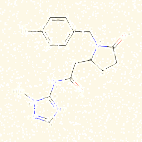 CCc1ccc(CN2C(=O)CCC2CC(=O)Nc2ncnn2C)cc1